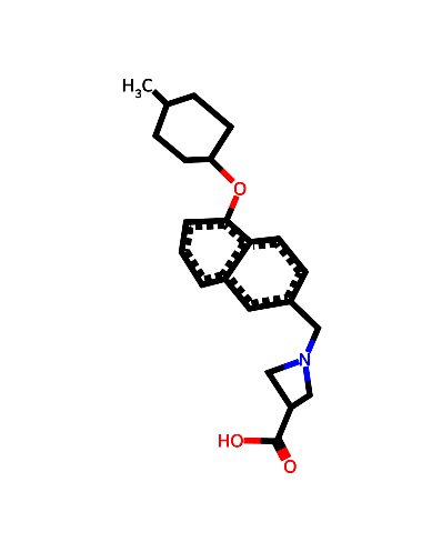 CC1CCC(Oc2cccc3cc(CN4CC(C(=O)O)C4)ccc23)CC1